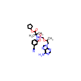 CC(Cn1cnc2c(N)ncnc21)OCP(=O)(NC(C)(C)C(=O)OC1CCCC1)Oc1cccc(C#N)c1